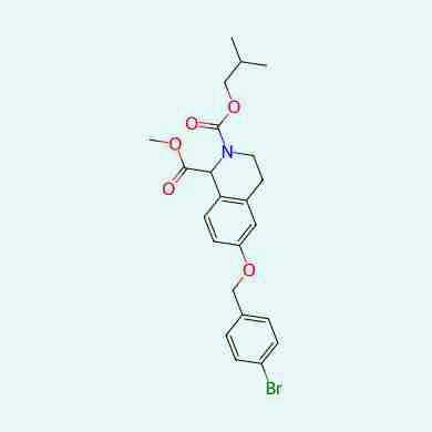 COC(=O)C1c2ccc(OCc3ccc(Br)cc3)cc2CCN1C(=O)OCC(C)C